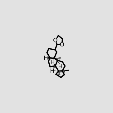 C[C@@]12CCC[C@H]1[C@@H]1CC[C@@H]3CCC(C4OCCO4)C[C@]3(C)[C@H]1CC2